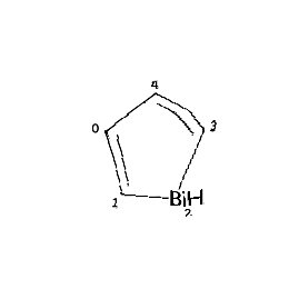 C1=[CH][BiH][CH]=C1